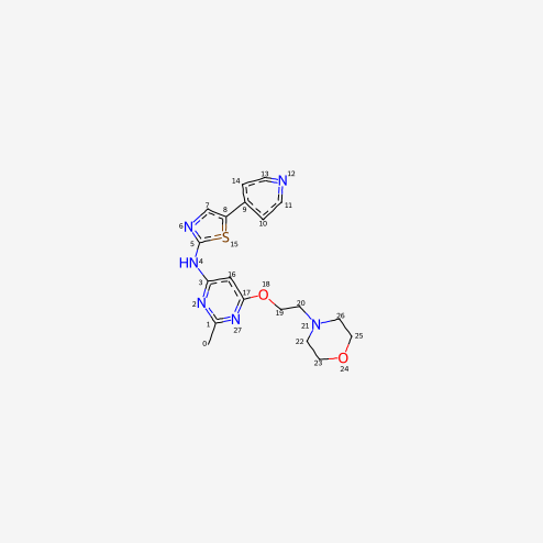 Cc1nc(Nc2ncc(-c3ccncc3)s2)cc(OCCN2CCOCC2)n1